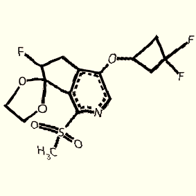 CS(=O)(=O)c1ncc(OC2CC(F)(F)C2)c2c1C1(OCCO1)C(F)C2